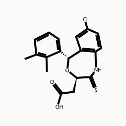 Cc1cccc([C@H]2O[C@H](CC(=O)O)C(=S)Nc3ccc(Cl)cc32)c1C